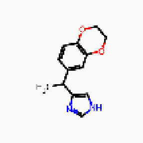 CC(c1ccc2c(c1)OCCO2)c1c[nH]cn1